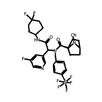 N#CN1C2CCC1(C(=O)N(c1ccc(S(F)(F)(F)(F)F)cc1)C(C(=O)NC1CCC(F)(F)CC1)c1cncc(F)c1)CC2